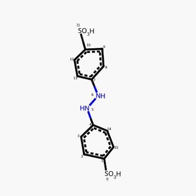 O=S(=O)(O)c1ccc(NNc2ccc(S(=O)(=O)O)cc2)cc1